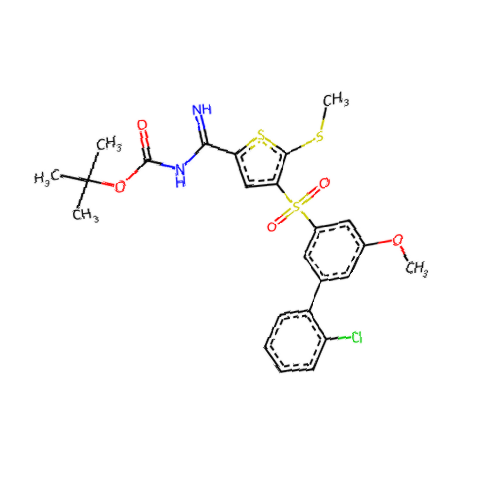 COc1cc(-c2ccccc2Cl)cc(S(=O)(=O)c2cc(C(=N)NC(=O)OC(C)(C)C)sc2SC)c1